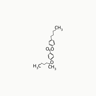 CCCCCc1ccc(OC(=O)c2ccc(OC(C)CCCC)cc2)cc1